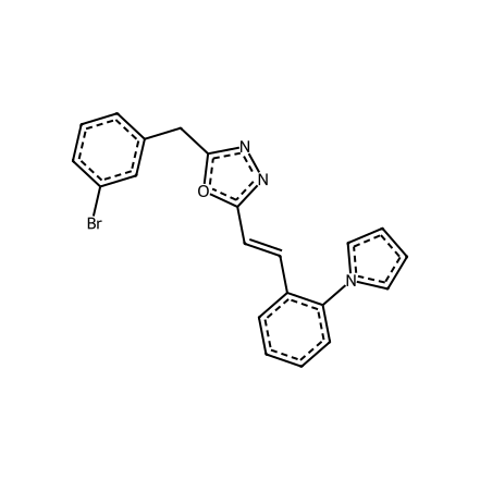 Brc1cccc(Cc2nnc(/C=C/c3ccccc3-n3cccc3)o2)c1